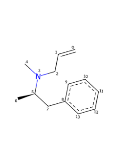 C=CCN(C)[C@H](C)Cc1ccccc1